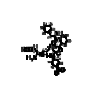 Cl.Cl.N=C(N)NCCC[C@H](NC(=O)[C@@H]1CCCCN1C(=O)[C@H](N)Cc1ccccc1)C(=O)Nc1ccc([N+](=O)[O-])cc1